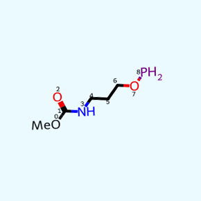 COC(=O)NCCCOP